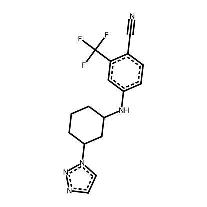 N#Cc1ccc(NC2CCCC(n3ccnn3)C2)cc1C(F)(F)F